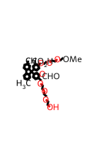 COCCOCCOCCOc1ccc(C2(c3ccc(COCCOCCOCCO)c(OC=O)c3)c3cc(C)ccc3-c3ccc(C)cc32)cc1C(=O)O